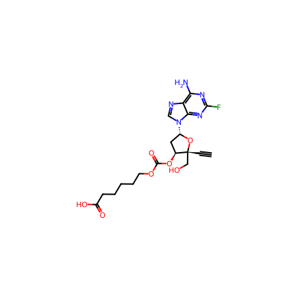 C#C[C@]1(CO)O[C@@H](n2cnc3c(N)nc(F)nc32)C[C@@H]1OC(=O)OCCCCCC(=O)O